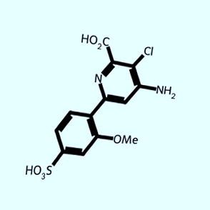 COc1cc(S(=O)(=O)O)ccc1-c1cc(N)c(Cl)c(C(=O)O)n1